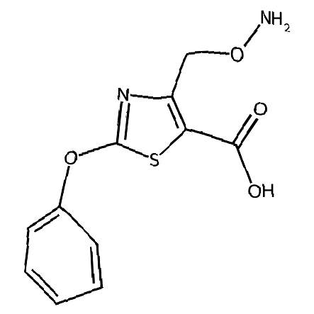 NOCc1nc(Oc2ccccc2)sc1C(=O)O